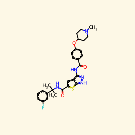 CN1CCC(Oc2ccc(C(=O)Nc3n[nH]c4sc(C(=O)NC(C)(C)c5cccc(F)c5)cc34)cc2)CC1